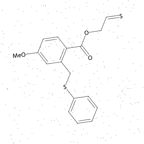 COc1ccc(C(=O)OCC=S)c(CSc2ccccc2)c1